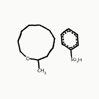 CC1CCCCCCCCCO1.O=S(=O)(O)c1ccccc1